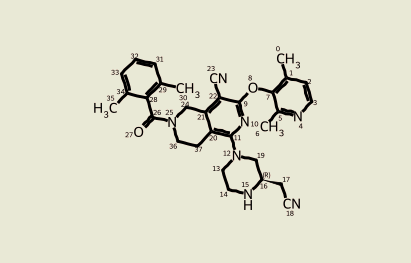 Cc1ccnc(C)c1Oc1nc(N2CCN[C@H](CC#N)C2)c2c(c1C#N)CN(C(=O)c1c(C)cccc1C)CC2